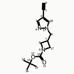 C#Cc1cnn(CC2CN(C(=O)OC(C)(C)C)C2)c1